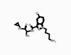 CC(C)(C)C(NC(=O)c1nn(CCCCN)c2ccc(Cl)cc12)C(=O)NC1CC1